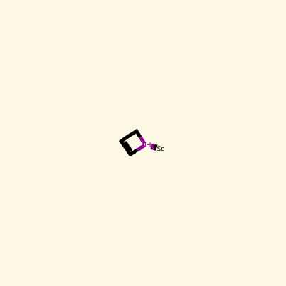 [Se]=[IH]1C=CC1